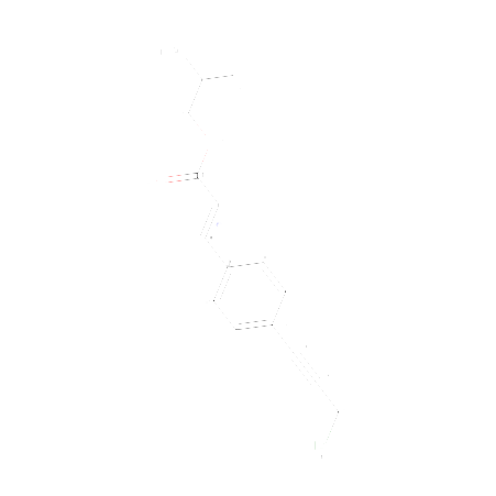 CCCCC(CC)COC(=O)/C=C/c1ccc(C#CCBr)cc1